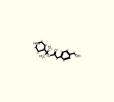 CC(C)(OC(=O)Cc1ccc(CO)cc1)C1CCNCC1